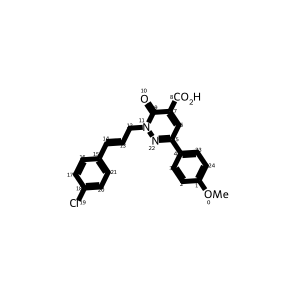 COc1ccc(-c2cc(C(=O)O)c(=O)n(CC=Cc3ccc(Cl)cc3)n2)cc1